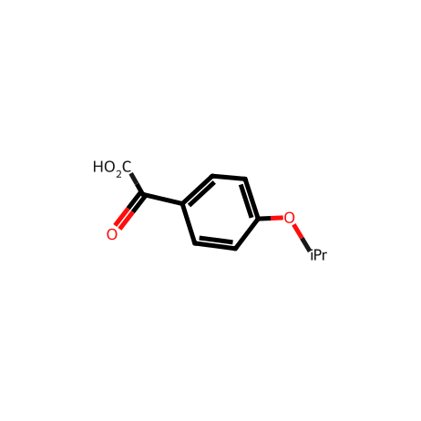 CC(C)Oc1ccc(C(=O)C(=O)O)cc1